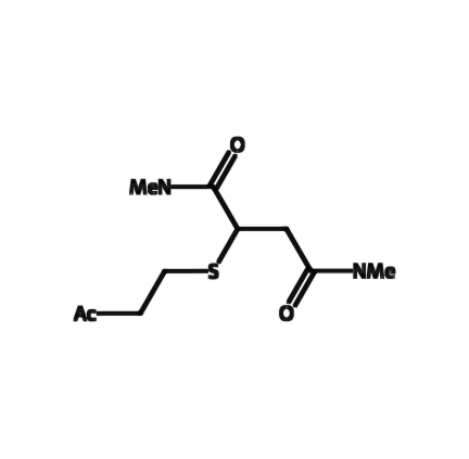 CNC(=O)CC(SCCC(C)=O)C(=O)NC